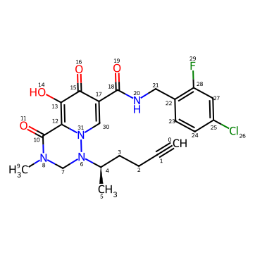 C#CCC[C@@H](C)N1CN(C)C(=O)c2c(O)c(=O)c(C(=O)NCc3ccc(Cl)cc3F)cn21